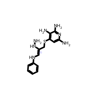 NN/C(=C\Nc1ccccc1)CSc1cc(N)nc(N)c1N